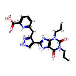 CCCn1c(=O)c2[nH]c(-c3c[nH]nc3Cc3cccc(C(=O)O)n3)nc2n(CCC)c1=O